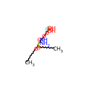 CCCCCCCCCCCCOC[C@H](CSC[C@H](N)C(=O)NCCOCCOCCC(F)(F)P(=O)(O)O)OCCCCCCCCCCCC